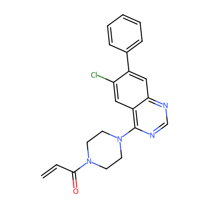 C=CC(=O)N1CCN(c2ncnc3cc(-c4ccccc4)c(Cl)cc23)CC1